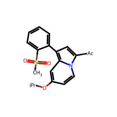 CC(=O)c1cc(-c2ccccc2S(C)(=O)=O)c2cc(OC(C)C)ccn12